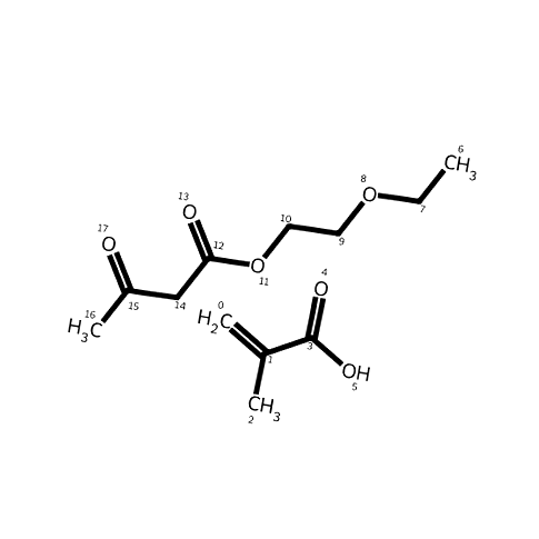 C=C(C)C(=O)O.CCOCCOC(=O)CC(C)=O